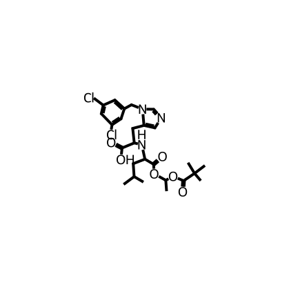 CC(C)CC(NC(Cc1cncn1Cc1cc(Cl)cc(Cl)c1)C(=O)O)C(=O)OC(C)OC(=O)C(C)(C)C